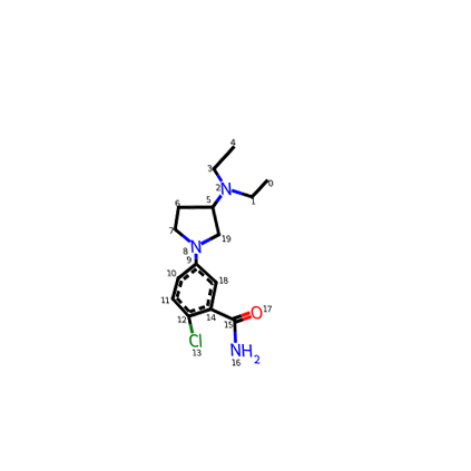 CCN(CC)C1CCN(c2ccc(Cl)c(C(N)=O)c2)C1